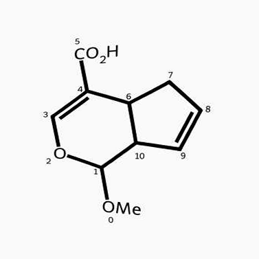 COC1OC=C(C(=O)O)C2CC=CC12